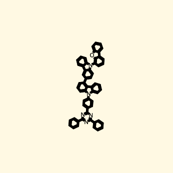 c1ccc(-c2nc(-c3ccccc3)nc(-c3ccc(-n4c5ccccc5c5c(-c6ccc7c(c6)c6ccccc6n7-c6cccc7c6oc6ccccc67)cccc54)cc3)n2)cc1